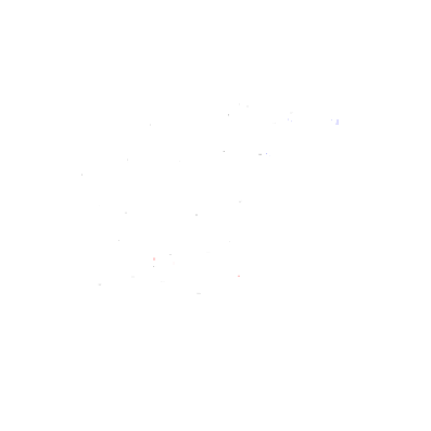 CCSSC(C)c1ccccc1C(=O)O[C@@H]1C[C@H](n2ccc(N)nc2=O)O[C@@H]1COP(=O)(O)OP(=O)(O)OP(=O)(O)O